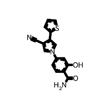 N#Cc1cn(-c2ccc(C(N)=O)c(O)c2)cc1-c1cccs1